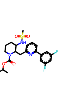 CC(C)OC(=O)N1CCCC(NS(C)(=O)=O)C1Cc1cccc(-c2cc(F)cc(F)c2)n1